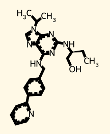 CC[C@@H](CO)Nc1nc(NCc2ccc(-c3ccccn3)cc2)c2ncn(C(C)C)c2n1